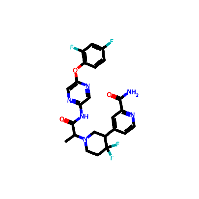 CC(C(=O)Nc1cnc(Oc2ccc(F)cc2F)cn1)N1CCC(F)(F)C(c2ccnc(C(N)=O)c2)C1